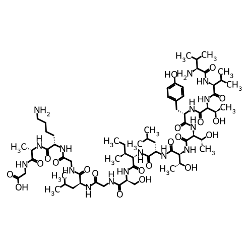 CC[C@H](C)[C@H](NC(=O)[C@H](CC(C)C)NC(=O)[C@@H](NC(=O)[C@@H](NC(=O)[C@H](Cc1ccc(O)cc1)NC(=O)[C@@H](NC(=O)[C@@H](NC(=O)[C@@H](N)C(C)C)C(C)C)[C@@H](C)O)[C@@H](C)O)[C@@H](C)O)C(=O)N[C@@H](CO)C(=O)NCC(=O)N[C@@H](CC(C)C)C(=O)NCC(=O)N[C@@H](CCCCN)C(=O)N[C@@H](C)C(=O)NCC(=O)O